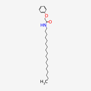 CCCCCCCCCCCCCCCCCCNC(=O)COc1ccccc1